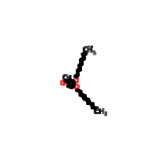 CCCCCCCCCCCOc1ccc(C(C)=O)cc1OCCCCCCCCCCC